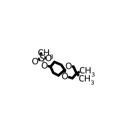 CC1(C)COC2(CCC(OS(C)(=O)=O)CC2)OC1